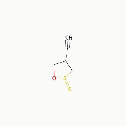 C#CC1COS(=S)C1